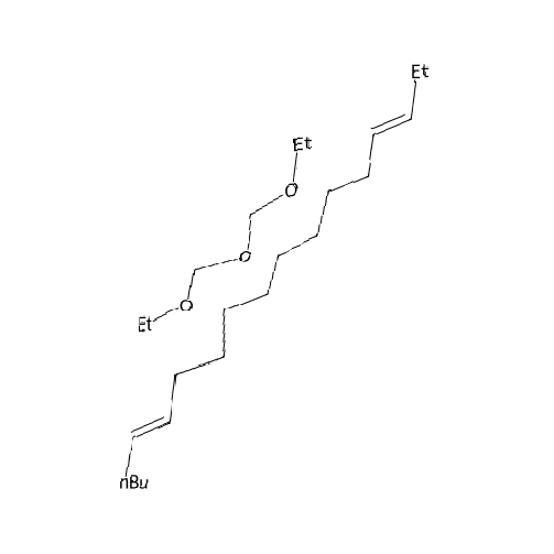 CCC=CCCCCCCCCC=CCCCC.CCOCOCOCC